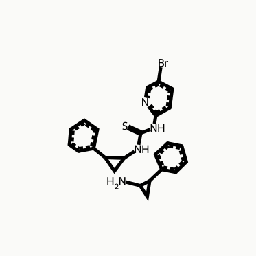 NC1CC1c1ccccc1.S=C(Nc1ccc(Br)cn1)NC1CC1c1ccccc1